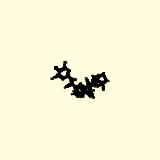 O=C(Nc1cc(F)c(F)c(F)c1)c1ccc(Cl)c(S(=O)(=O)[C@@H]2CC3CC[C@@H](C2)[C@@]3(O)CNC(=O)C2CCOCC2)c1